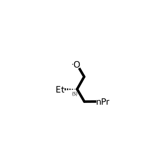 CCCC[C@H](CC)C[O]